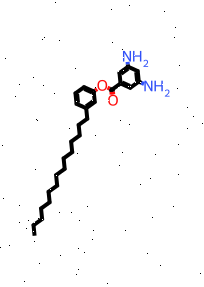 CCCCCCCCCCCCCCCc1cccc(OC(=O)c2cc(N)cc(N)c2)c1